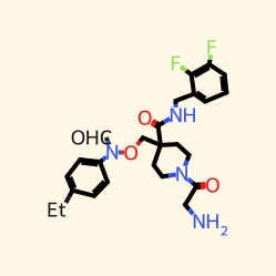 CCc1ccc(N(C=O)OCC2(C(=O)NCc3cccc(F)c3F)CCN(C(=O)CN)CC2)cc1